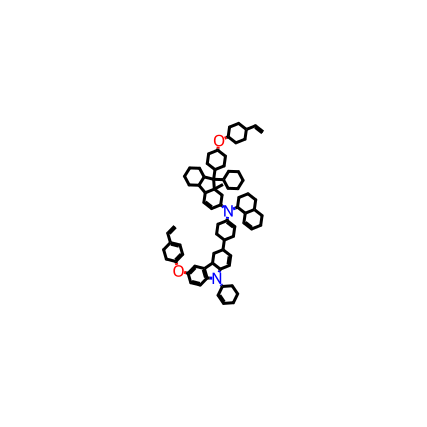 C=CC1=CC=C(Oc2ccc3c(c2)C2CC(C4CC=C(N(C5C=CC6C7CCCCC7C(C7CCCCC7)(C7CCC(OC8CCC(C=C)CC8)CC7)C6(C)C5)C5CCCC6CCC=CC65)CC4)C=CC2N3C2C=CCCC2)CC1